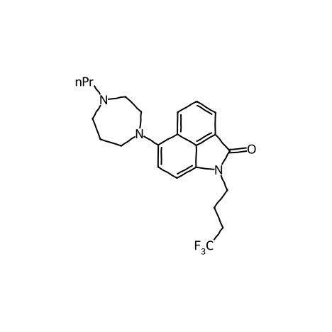 CCCN1CCCN(c2ccc3c4c(cccc24)C(=O)N3CCCC(F)(F)F)CC1